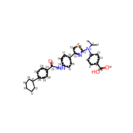 CC(C)N(c1ccc(C(=O)O)cc1)c1nc(-c2ccc(NC(=O)c3ccc(C4CCCCC4)cc3)cc2)cs1